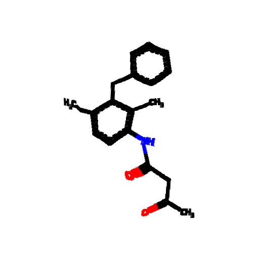 CC(=O)CC(=O)Nc1ccc(C)c(Cc2ccccc2)c1C